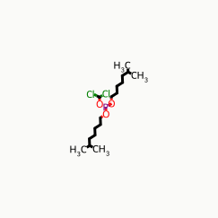 CC(C)CCCCCOP(OCCCCCC(C)C)OC(Cl)Cl